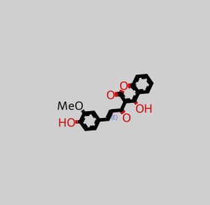 COc1cc(/C=C/C(=O)c2c(O)c3ccccc3oc2=O)ccc1O